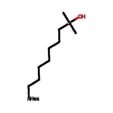 CCCCCCCCCCCCC[Si](C)(C)O